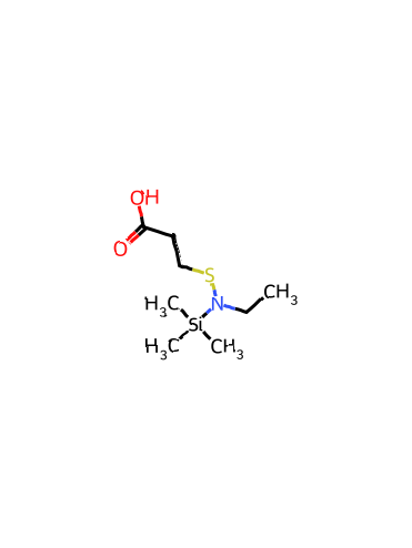 CCN(SCCC(=O)O)[Si](C)(C)C